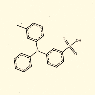 Cc1cccc(P(c2ccccc2)c2cccc(S(=O)(=O)O)c2)c1